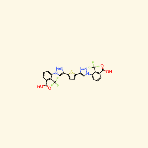 O=C(O)c1cccc(-n2cc(-c3ccc(-c4cn(-c5cccc(C(=O)O)c5C(F)(F)F)nn4)s3)nn2)c1C(F)(F)F